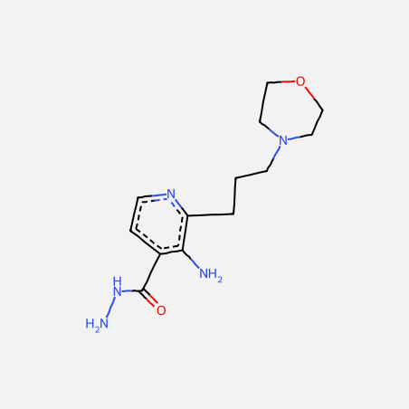 NNC(=O)c1ccnc(CCCN2CCOCC2)c1N